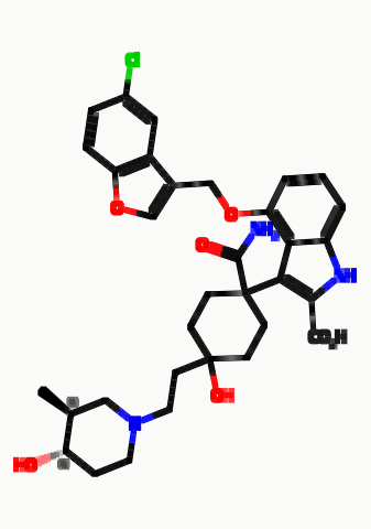 C[C@H]1CN(CCC2(O)CCC(C(N)=O)(c3c(C(=O)O)[nH]c4cccc(OCc5coc6ccc(Cl)cc56)c34)CC2)CC[C@@H]1O